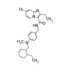 CCc1nc2cc(Cl)ccn2c1C(=O)NCc1ccc(N(C)CC2CCCCC2CC)cc1